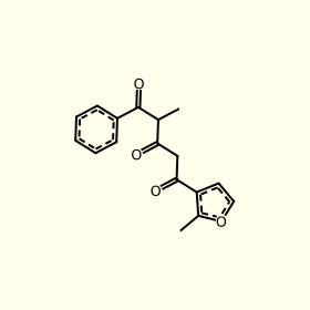 Cc1occc1C(=O)CC(=O)C(C)C(=O)c1ccccc1